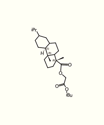 CCC(C)OC(=O)COC(=O)[C@]1(C)CCC[C@@]2(C)C1CCC1CC(C(C)C)CC[C@@H]12